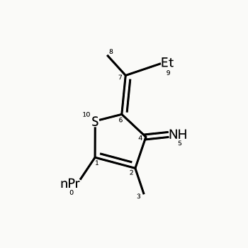 CCCC1=C(C)C(=N)/C(=C(/C)CC)S1